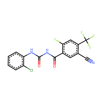 N#Cc1cc(C(=O)NC(=O)Nc2ccccc2Cl)c(F)cc1C(F)(F)F